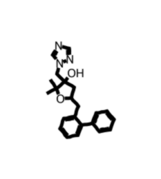 CC1(C)OC(Cc2ccccc2-c2ccccc2)CC1(O)Cn1cncn1